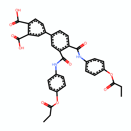 CCC(=O)Oc1ccc(NC(=O)c2ccc(-c3ccc(C(=O)O)c(C(=O)O)c3)cc2C(=O)Nc2ccc(OC(=O)CC)cc2)cc1